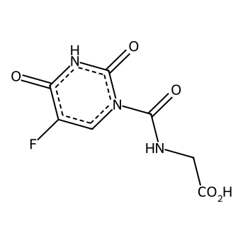 O=C(O)CNC(=O)n1cc(F)c(=O)[nH]c1=O